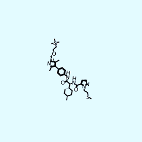 CSCCn1nccc1C(=O)N[C@H](C(=O)Nc1ccc(-c2c(C)nn(COCC[Si](C)(C)C)c2C)cc1)[C@H]1CC[C@H](C)CC1